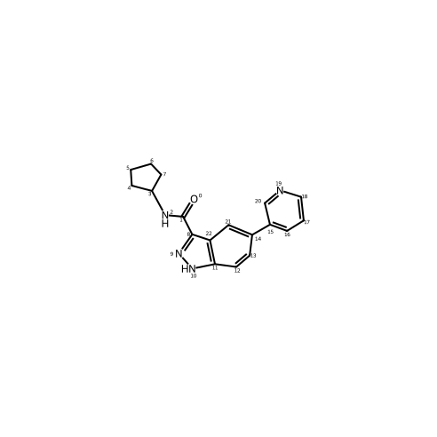 O=C(NC1CCCC1)c1n[nH]c2ccc(-c3cccnc3)cc12